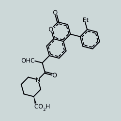 CCc1ccccc1-c1cc(=O)oc2cc(C(C=O)C(=O)N3CCC[C@H](C(=O)O)C3)ccc12